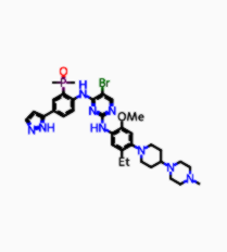 CCc1cc(Nc2ncc(Br)c(Nc3ccc(-c4ccn[nH]4)cc3P(C)(C)=O)n2)c(OC)cc1N1CCC(N2CCN(C)CC2)CC1